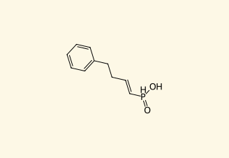 O=[PH](O)C=CCCc1ccccc1